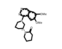 COc1cc2cnnc(N3CCC[C@@H](N4CCCCC4=O)C3)c2cc1OC